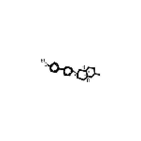 CCOc1ccc(-c2ccc([C@@H]3CC[C@@H]4CC(C)CC[C@@H]4C3)cc2)cc1